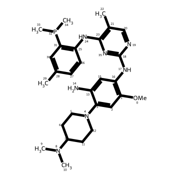 COc1cc(N2CCC(N(C)C)CC2)c(N)cc1Nc1ncc(C)c(Nc2ccc(C)cc2P(C)C)n1